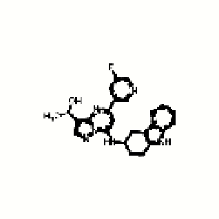 C[C@@H](O)c1cnn2c(N[C@@H]3CCc4[nH]c5ccccc5c4C3)cc(-c3cncc(F)c3)nc12